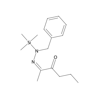 CCCC(=O)C(C)=NN(Cc1ccccc1)[Si](C)(C)C